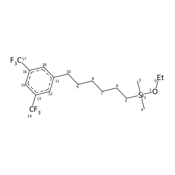 CCO[Si](C)(C)CCCCCCc1cc(C(F)(F)F)cc(C(F)(F)F)c1